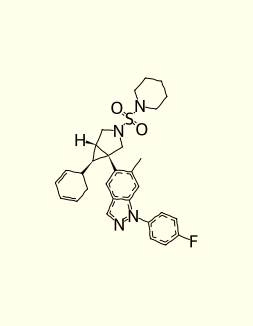 Cc1cc2c(cnn2-c2ccc(F)cc2)cc1[C@]12CN(S(=O)(=O)N3CCCCC3)C[C@H]1[C@@H]2C1C=CC=CC1